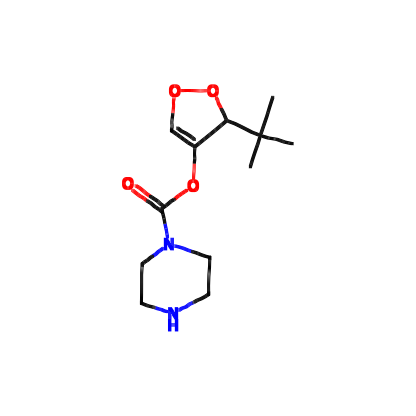 CC(C)(C)C1OOC=C1OC(=O)N1CCNCC1